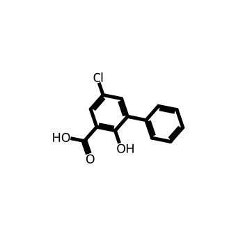 O=C(O)c1cc(Cl)cc(-c2ccccc2)c1O